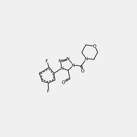 O=CC1N(C(=O)N2CCOCC2)N=NN1c1cc(F)ccc1F